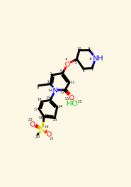 Cc1cc(OC2CCNCC2)cc(=O)n1-c1ccc(S(C)(=O)=O)cc1.Cl